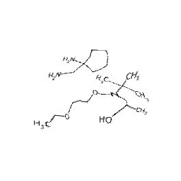 CCOCCON(C(C)O)C(C)(C)C.NCC1(N)CCCC1